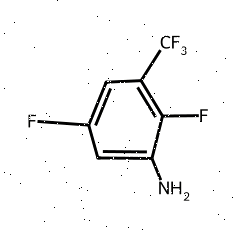 Nc1cc(F)cc(C(F)(F)F)c1F